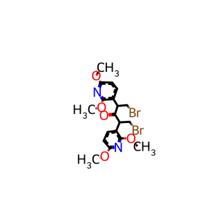 COc1ccc(C(CBr)C(=O)C(CBr)c2ccc(OC)nc2OC)c(OC)n1